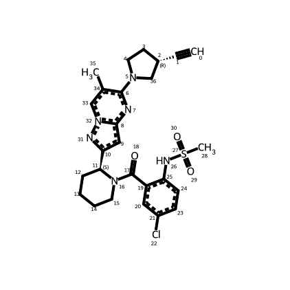 C#C[C@H]1CCN(c2nc3cc([C@@H]4CCCCN4C(=O)c4cc(Cl)ccc4NS(C)(=O)=O)nn3cc2C)C1